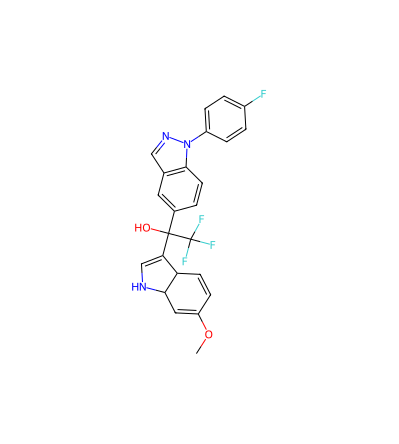 COC1=CC2NC=C(C(O)(c3ccc4c(cnn4-c4ccc(F)cc4)c3)C(F)(F)F)C2C=C1